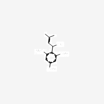 COc1cc(OC)c(C(C=C(C)C)OC(C)=O)c(OC)c1